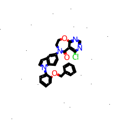 O=C1c2c(Cl)ncnc2OCCN1c1ccc2c(ccn2-c2ccccc2OCc2ccccc2)c1